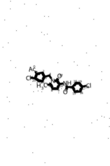 CC(=O)c1cc(Cn2c(C)ccc(NC(=O)c3ccc(Cl)cc3)c2=O)ccc1Cl